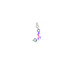 O=C(O)CC1CCC(c2ccc(NC(=O)c3nnc(Nc4ccc(Cl)cc4Cl)o3)cc2)CC1